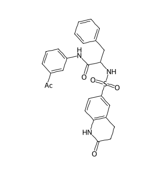 CC(=O)c1cccc(NC(=O)C(Cc2ccccc2)NS(=O)(=O)c2ccc3c(c2)CCC(=O)N3)c1